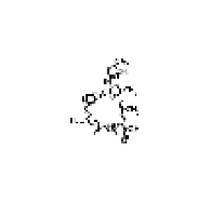 CC(=O)O[C@@H](C)/C=C\C(=O)N[C@@H]1C[C@H](C)[C@H](C/C=C(C)/C=C/[C@H]2O[C@H](CNC(=O)OC[C@@H](C)SSc3ccccn3)C[C@@]3(CO3)[C@@H]2O)O[C@@H]1C